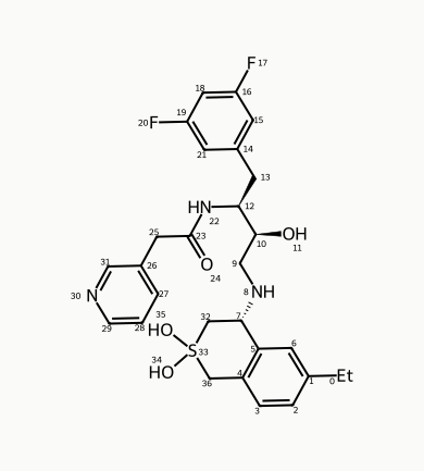 CCc1ccc2c(c1)[C@@H](NC[C@H](O)[C@H](Cc1cc(F)cc(F)c1)NC(=O)Cc1cccnc1)CS(O)(O)C2